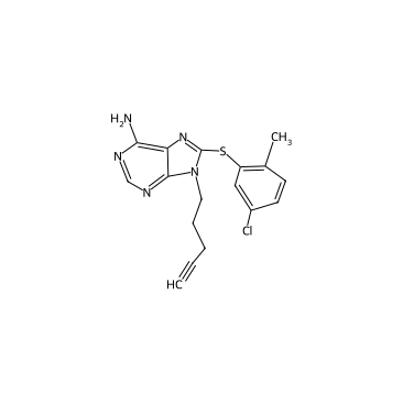 C#CCCCn1c(Sc2cc(Cl)ccc2C)nc2c(N)ncnc21